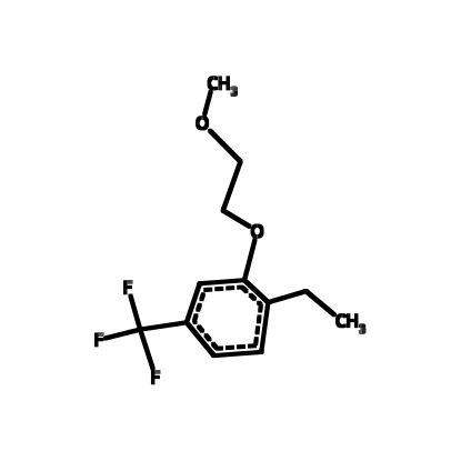 CCc1ccc(C(F)(F)F)cc1OCCOC